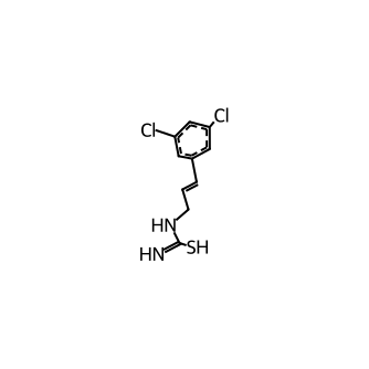 N=C(S)NCC=Cc1cc(Cl)cc(Cl)c1